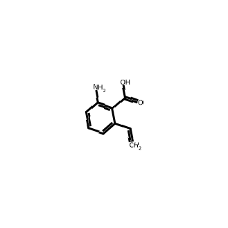 C=Cc1cccc(N)c1C(=O)O